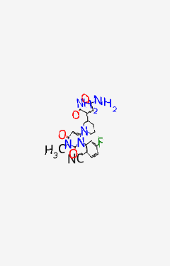 Cn1c(=O)cc(N2CCCC(C(CC(N)=O)C(N)=O)C2)n(-c2cc(F)ccc2C#N)c1=O